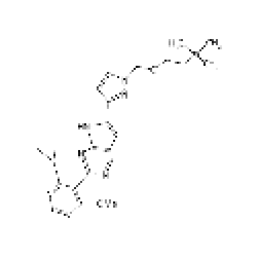 COc1ncnc(C2CC2)c1-c1ncc2cc(-c3ccn(COCC[Si](C)(C)C)n3)[nH]c2n1